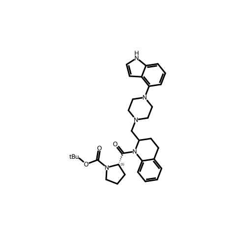 CC(C)(C)OC(=O)N1CCC[C@H]1C(=O)N1c2ccccc2CCC1CN1CCN(c2cccc3[nH]ccc23)CC1